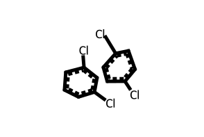 Clc1ccc(Cl)cc1.Clc1cccc(Cl)c1